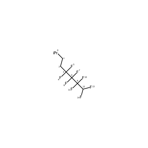 CC(C)CCC(F)(F)C(F)(F)C(F)(F)C(F)F